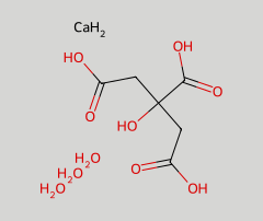 O.O.O.O=C(O)CC(O)(CC(=O)O)C(=O)O.[CaH2]